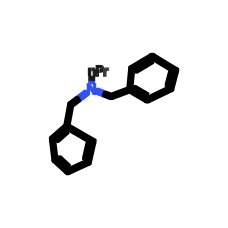 [CH2]CCN(Cc1ccccc1)Cc1ccccc1